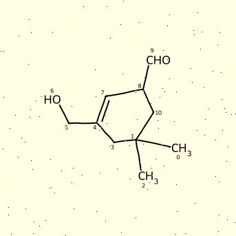 CC1(C)CC(CO)=CC(C=O)C1